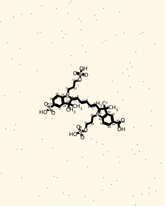 CC1(C)C(/C=C/C=C/C=C2/N(CCCOS(=O)(=O)O)c3ccc(S(=O)(=O)O)cc3C2(C)C)=[N+](CCCOS(=O)(=O)O)c2ccc(C(=O)O)cc21